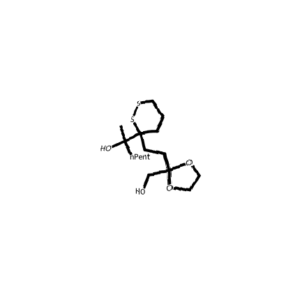 CCCCCC(C)(O)C1(CCC2(CO)OCCO2)CCCSS1